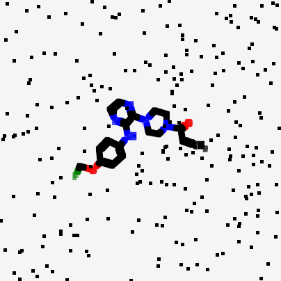 C=CC(=O)N1CCN(c2nccnc2Nc2ccc(OCF)cc2)CC1